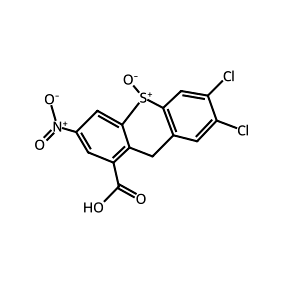 O=C(O)c1cc([N+](=O)[O-])cc2c1Cc1cc(Cl)c(Cl)cc1[S+]2[O-]